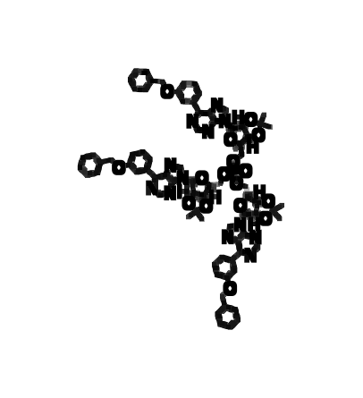 CC1(C)O[C@@H]2[C@H](O1)[C@@H](COP(=O)(OC[C@H]1O[C@@H](n3cnc4c(-c5cccc(OCc6ccccc6)c5)ncnc43)[C@@H]3OC(C)(C)O[C@@H]31)OC[C@H]1O[C@@H](n3cnc4c(-c5cccc(OCc6ccccc6)c5)ncnc43)[C@@H]3OC(C)(C)O[C@@H]31)O[C@H]2n1cnc2c(-c3cccc(OCc4ccccc4)c3)ncnc21